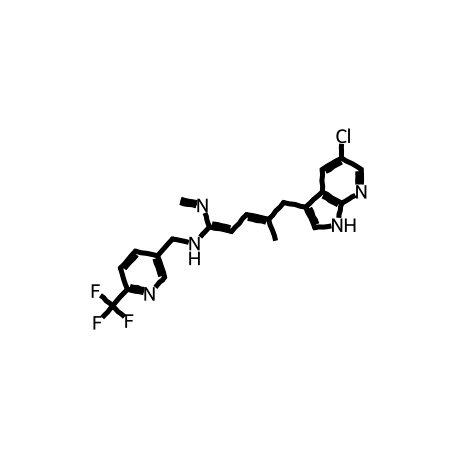 C=N/C(=C\C=C(/C)Cc1c[nH]c2ncc(Cl)cc12)NCc1ccc(C(F)(F)F)nc1